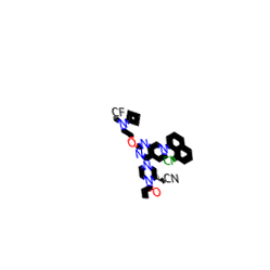 C=CC(=O)N1CCN(c2nc(OCCN(CC(F)(F)F)C3CCC3)nc3c2CCN(c2cccc4cccc(Cl)c24)C3)C[C@@H]1CC#N